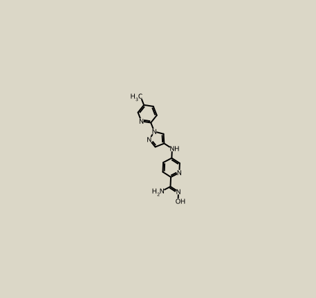 Cc1ccc(-n2cc(Nc3ccc(/C(N)=N/O)nc3)cn2)nc1